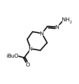 CC(C)COC(=O)N1CCN(C=NN)CC1